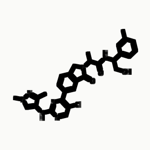 Cc1cccc(C(CO)NC(=O)C(C)N2Cc3ccc(-c4nc(Nc5cn(C)nc5C)ncc4Cl)cc3C2=O)c1